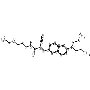 CCCN(CCC)c1ccc2cc(/C=C(\C#N)C(=O)NCCCOCC)ccc2c1